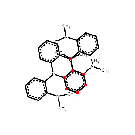 CN(C)c1ccccc1P(c1ccccc1N(C)C)c1ccccc1P(c1ccccc1N(C)C)c1ccccc1N(C)C